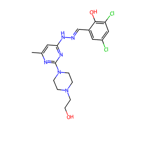 Cc1cc(N/N=C/c2cc(Cl)cc(Cl)c2O)nc(N2CCN(CCO)CC2)n1